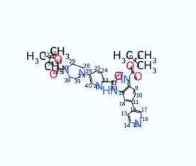 CC(C)(C)OC(=O)Nc1ccc(-c2ccncc2)cc1NC(=O)c1ccc(N2CCN(C(=O)OC(C)(C)C)CC2)cn1